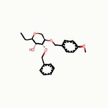 CCC1OCC(OCc2ccc(OC)cc2)[C@H](OCc2ccccc2)[C@@H]1O